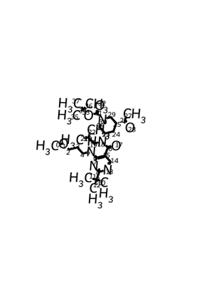 COCCCNc1nc(C(C)(C)C)ncc1C(=O)N(CC(C)C)[C@H]1C[C@@H](C(C)=O)CN(C(=O)OC(C)(C)C)C1